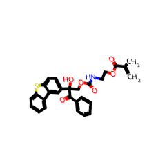 C=C(C)C(=O)OCCNC(=O)OCC(O)(C(=O)c1ccccc1)c1ccc2sc3ccccc3c2c1